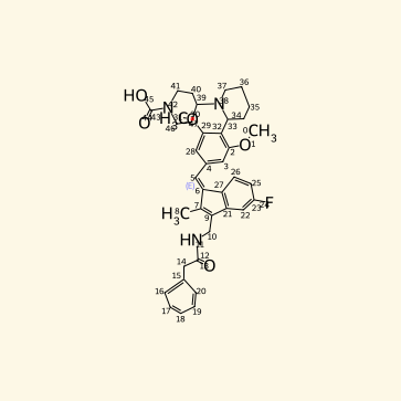 COc1cc(/C=C2/C(C)=C(CNC(=O)Cc3ccccc3)c3cc(F)ccc32)cc(OC)c1C1CCCCN1C1CCN(C(=O)O)CC1